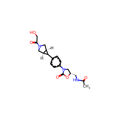 CC(=O)NC[C@H]1CN(c2ccc(C3[C@H]4CN(C(=O)CO)C[C@@H]34)cc2)C(=O)O1